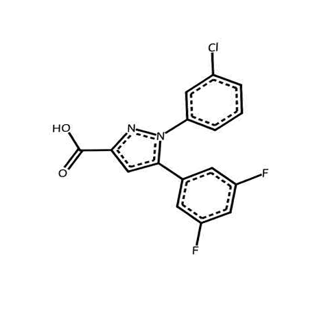 O=C(O)c1cc(-c2cc(F)cc(F)c2)n(-c2cccc(Cl)c2)n1